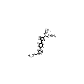 CCCC1N=NC(c2ccc(-c3c[nH]c(C(COC)COC)n3)cc2)=N1